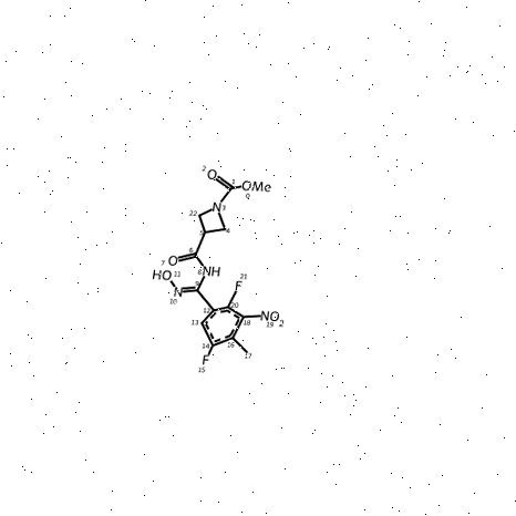 COC(=O)N1CC(C(=O)N/C(=N\O)c2cc(F)c(C)c([N+](=O)[O-])c2F)C1